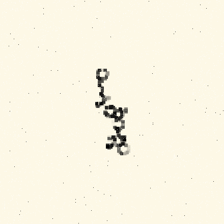 O=C(NCCCN1CCCCC1)c1ccc2c(c1)NCC21CCN(c2nc3c(c(=O)[nH]2)CCCC3)CC1